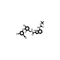 CC(C)(C)OC(=O)Nc1cccc2cc(C(=O)NCc3ccc(Cl)c(Oc4cc(Cl)cc(C#N)c4)c3F)[nH]c12